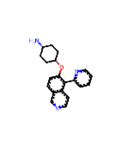 N[C@H]1CC[C@@H](Oc2ccc3cnccc3c2-c2ccccn2)CC1